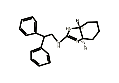 c1ccc(C(CNC2=N[C@@H]3CCCC[C@H]3N2)c2ccccc2)cc1